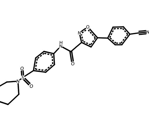 N#Cc1ccc(-c2cc(C(=O)Nc3ccc(S(=O)(=O)N4CCCCC4)cc3)no2)cc1